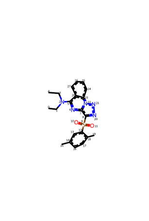 CCN(CC)c1nc2c(S(=O)(=O)c3cc(C)ccc3C)nnn2c2ccccc12